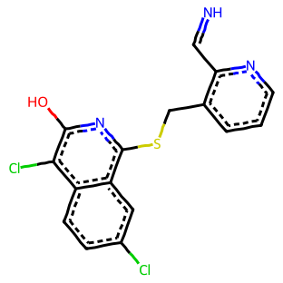 N=Cc1ncccc1CSc1nc(O)c(Cl)c2ccc(Cl)cc12